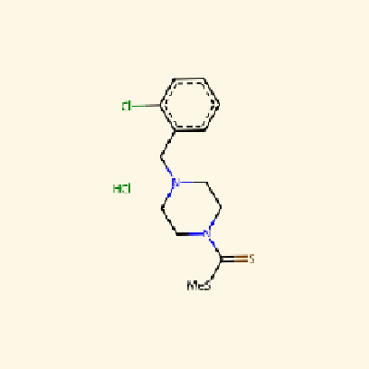 CSC(=S)N1CCN(Cc2ccccc2Cl)CC1.Cl